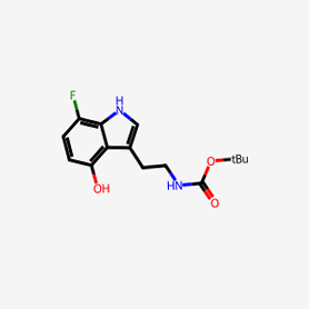 CC(C)(C)OC(=O)NCCc1c[nH]c2c(F)ccc(O)c12